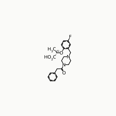 C[C@H](Oc1ccc(F)cc1CN1CCN(C(=O)Cc2ccccc2)CC1)C(=O)O